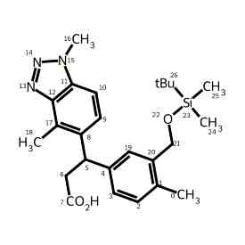 Cc1ccc(C(CC(=O)O)c2ccc3c(nnn3C)c2C)cc1CO[Si](C)(C)C(C)(C)C